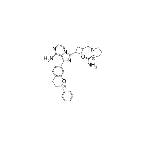 NC(=O)[C@@H]1CCCN1CC1CC(c2nc(-c3ccc4c(c3)O[C@H](c3ccccc3)CC4)c3c(N)nccn23)C1